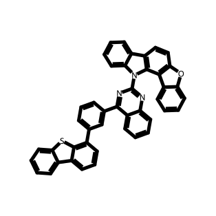 c1cc(-c2nc(-n3c4ccccc4c4ccc5oc6ccccc6c5c43)nc3ccccc23)cc(-c2cccc3c2sc2ccccc23)c1